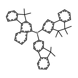 CC1(C)c2ccccc2-c2ccc(N(c3ccc4c(c3)C(C)(C)C(C)(C)c3ccccc3-4)c3cc4c(c5ccccc35)-c3ccccc3C4(C)C)cc21